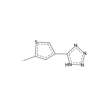 [CH2]c1cc(-c2nnn[nH]2)cs1